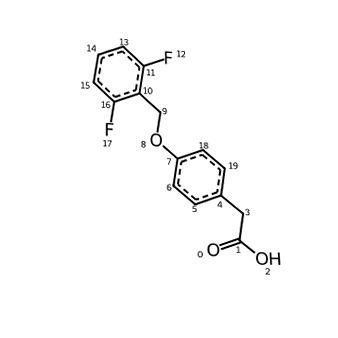 O=C(O)Cc1ccc(OCc2c(F)cccc2F)cc1